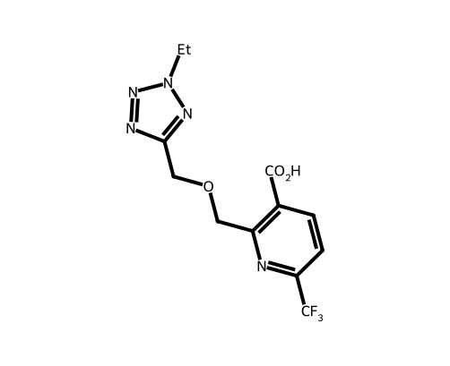 CCn1nnc(COCc2nc(C(F)(F)F)ccc2C(=O)O)n1